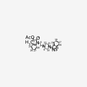 CC(=O)OC(C)C(=O)N(CCN1CCN(c2nsc3ccccc23)CC1)c1ccccc1